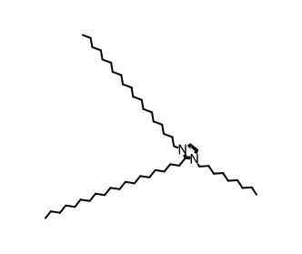 CCCCCCCCCCCCCCCCCCCc1n(CCCCCCCCC)cc[n+]1CCCCCCCCCCCCCCCCCCC